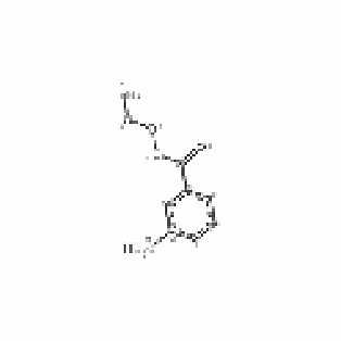 CCCCOOOC(=O)c1cccc(C(=O)O)c1